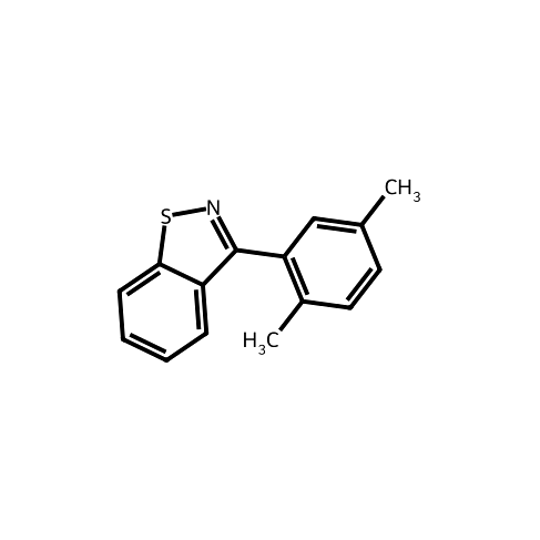 Cc1ccc(C)c(-c2nsc3ccccc23)c1